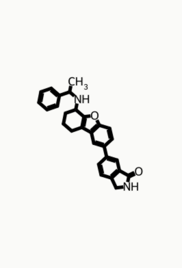 CC(NC1CCCc2c1oc1ccc(-c3ccc4c(c3)C(=O)NC4)cc21)c1ccccc1